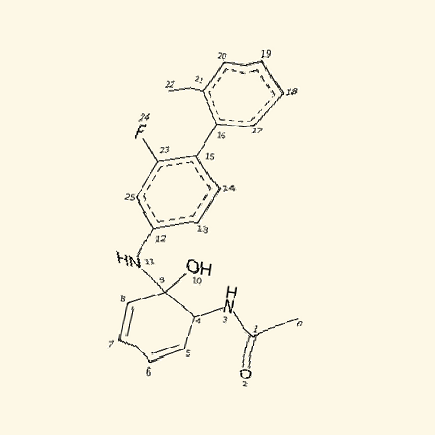 CC(=O)NC1C=CC=CC1(O)Nc1ccc(-c2ccccc2C)c(F)c1